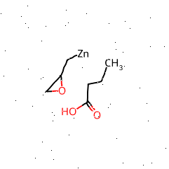 CCCC(=O)O.[Zn][CH2]C1CO1